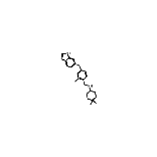 Cc1cc(Oc2ccc3nc[nH]c3c2)ccc1CNC1CCC(C)(C)CC1